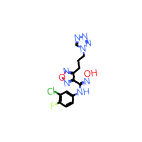 O/N=C(/Nc1ccc(F)c(Cl)c1)c1nonc1CCCn1cnnn1